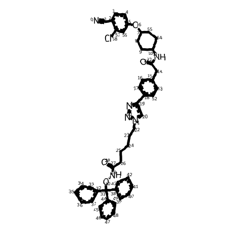 N#Cc1ccc(OC2CCC(NC(=O)Cc3ccc(-c4cn(CCCCCC(=O)NOC(c5ccccc5)(c5ccccc5)c5ccccc5)nn4)cc3)CC2)cc1Cl